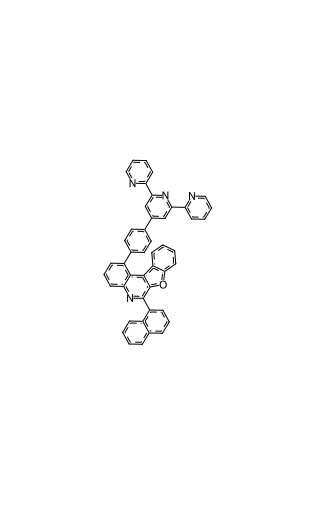 c1ccc(-c2cc(-c3ccc(-c4cccc5nc(-c6cccc7ccccc67)c6oc7ccccc7c6c45)cc3)cc(-c3ccccn3)n2)nc1